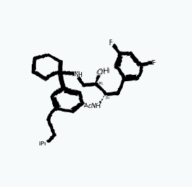 CC(=O)N[C@@H](Cc1cc(F)cc(F)c1)[C@H](O)CNC1(c2cccc(CCC(C)C)c2)CCCCC1